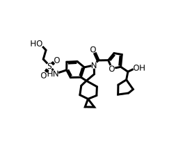 O=C(c1ccc(C(O)C2CCCC2)o1)N1CC2(CCC3(CC3)CC2)c2cc(NS(=O)(=O)CCO)ccc21